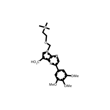 COc1cc(-c2cnc3c(n2)c(C(=O)O)cn3COCC[Si](C)(C)C)cc(OC)c1OC